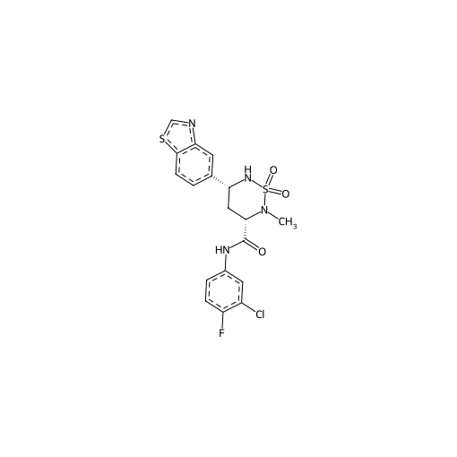 CN1[C@H](C(=O)Nc2ccc(F)c(Cl)c2)C[C@H](c2ccc3scnc3c2)NS1(=O)=O